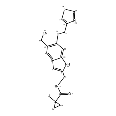 CC1(C(=O)NCc2cc3cc(CC#N)c(OCc4cscn4)cc3[nH]2)CC1